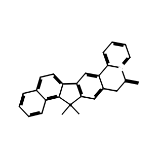 C=C1Cc2cc3c(cc2-c2cccc[n+]21)-c1ccc2ccccc2c1C3(C)C